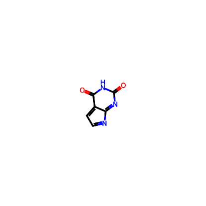 O=C1N=C2N=CC=C2C(=O)N1